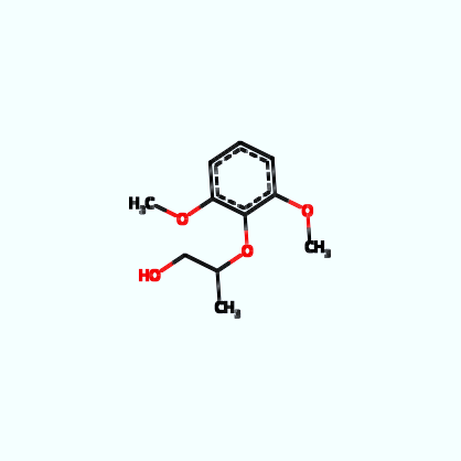 COc1cccc(OC)c1OC(C)CO